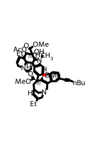 CCCCC#Cc1ccc2[nH]c3c(c2c1)CN1CC(CC)=C[C@@H](C1)C[C@]3(C(=O)OC)c1cc2c(cc1OC)N(C)[C@H]1[C@@](O)(C(=O)OC)[C@H](OC(C)=O)[C@]3(CC)C=CCN4CC[C@]21[C@@H]43